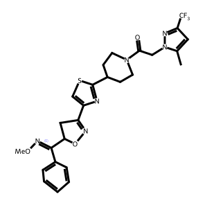 CO/N=C(\c1ccccc1)C1CC(c2csc(C3CCN(C(=O)Cn4nc(C(F)(F)F)cc4C)CC3)n2)=NO1